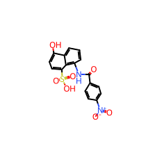 O=C(Nc1cccc2c(O)ccc(S(=O)(=O)O)c12)c1ccc([N+](=O)[O-])cc1